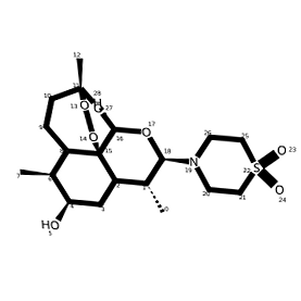 C[C@@H]1C2C[C@@H](O)[C@@H](C)C3CC[C@@]4(C)OO[C@@]23[C@H](O[C@H]1N1CCS(=O)(=O)CC1)O4